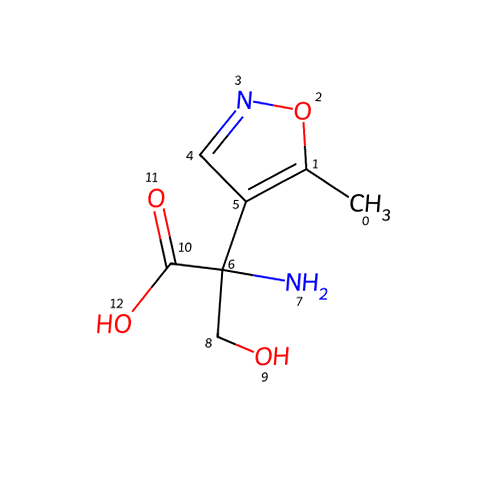 Cc1oncc1C(N)(CO)C(=O)O